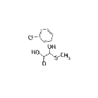 CSC(O)C(=O)O.Clc1ccccc1